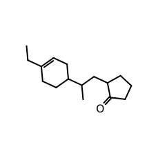 CCC1=CCC(C(C)CC2CCCC2=O)CC1